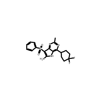 Cc1nc(C2CCC(F)(F)CC2)c2[nH]c(N)c(S(=O)(=O)c3ccccc3)c2n1